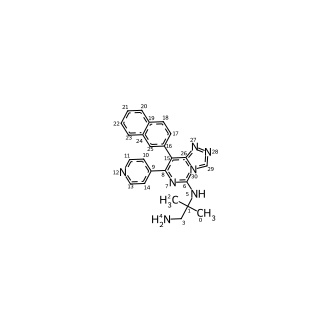 CC(C)(CN)Nc1nc(-c2ccncc2)c(-c2ccc3ccccc3c2)c2nncn12